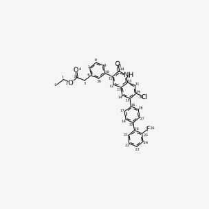 CCOC(=O)Cc1cccc(-c2cc3cc(-c4ccc(-c5ccccc5F)cc4)c(Cl)cc3[nH]c2=O)c1